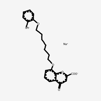 CCCc1ccccc1OCCCCCCCOc1cccc2c(=O)cc(C(=O)[O-])oc12.[Na+]